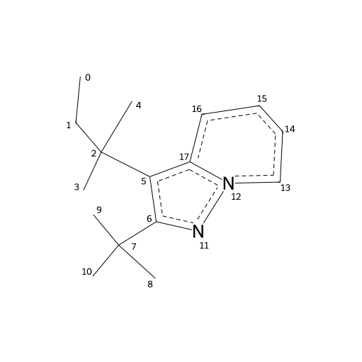 CCC(C)(C)c1c(C(C)(C)C)nn2ccccc12